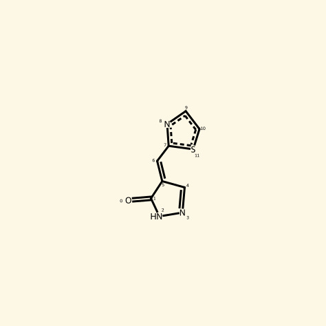 O=C1NN=CC1=Cc1nccs1